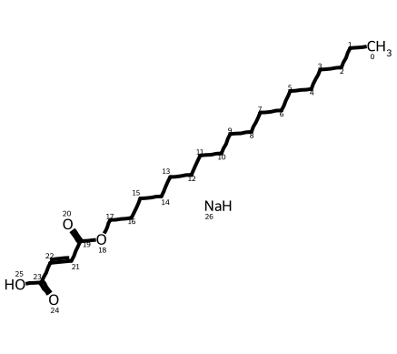 CCCCCCCCCCCCCCCCCCOC(=O)/C=C/C(=O)O.[NaH]